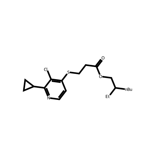 CCCCC(CC)COC(=O)CCSc1ccnc(C2CC2)c1Cl